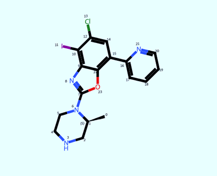 C[C@H]1CNCCN1c1nc2c(I)c(Cl)cc(-c3ccccn3)c2o1